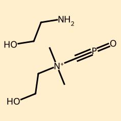 C[N+](C)(C#P=O)CCO.NCCO